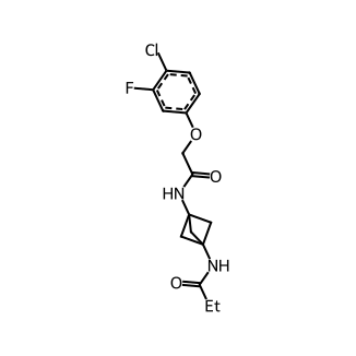 CCC(=O)NC12CC(NC(=O)COc3ccc(Cl)c(F)c3)(C1)C2